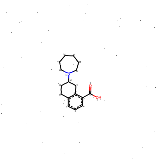 O=C(O)c1cccc2c1CC(N1CCCCCC1)CC2